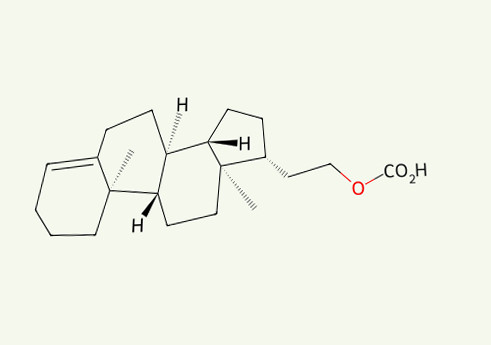 C[C@]12CC[C@H]3[C@@H](CCC4=CCCC[C@@]43C)[C@@H]1CC[C@@H]2CCOC(=O)O